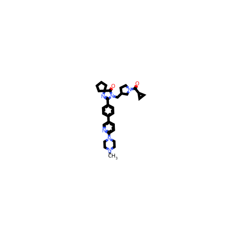 CN1CCN(c2ccc(-c3ccc(C4=NC5(CCCC5)C(=O)N4CC4CCN(C(=O)C5CC5)C4)cc3)cn2)CC1